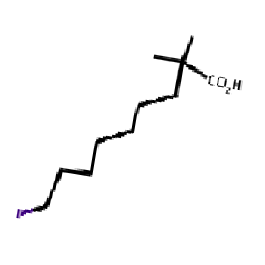 CC(C)(CCCCCCCI)C(=O)O